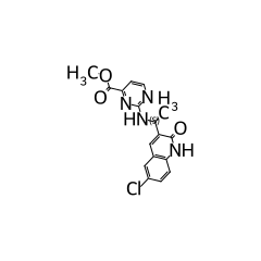 COC(=O)c1ccnc(N[C@@H](C)c2cc3cc(Cl)ccc3[nH]c2=O)n1